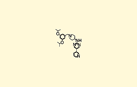 CC(C)Oc1cc(CN2CCC(Nc3ncc(-c4cccnc4)cn3)CC2)cc(OC(C)C)c1